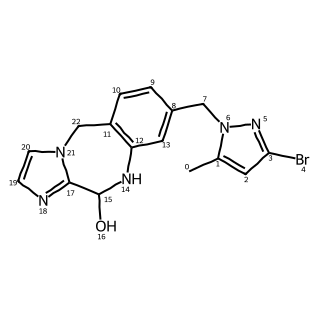 Cc1cc(Br)nn1Cc1ccc2c(c1)NC(O)c1nccn1C2